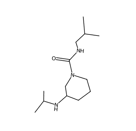 CC(C)CNC(=O)N1CCCC(NC(C)C)C1